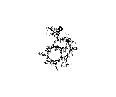 CCCC[C@@H]1NC(=O)[C@H](CO)NC(=O)[C@@H]2CSSC[C@@H](C(=O)N[C@@H](Cc3c[nH]c4ccccc34)C(=O)N[C@@H](CCC(N)=O)C(N)=O)NC(=O)[C@H](CC(C)C)NC(=O)[C@@H]([C@H](C)O)NC(=O)[C@H](CC(=O)O)NC(=O)[C@H](CO)NC(=O)[C@H](CCCNC(=N)N)NC(=O)[C@H](CSCC(=O)N[C@@H](CCCNC(=N)N)C(=O)N2)NC(=O)[C@H](CC(C)C)NC(=O)[C@H](CC(=O)O)NC1=O